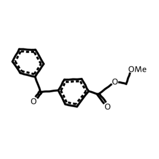 COCOC(=O)c1ccc(C(=O)c2ccccc2)cc1